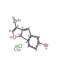 Brc1ccc2c(c1)C=C1[C]([Zr+2])=COC12.[Cl-].[Cl-]